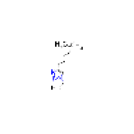 CCn1cc(CCCCC(C)C)nn1